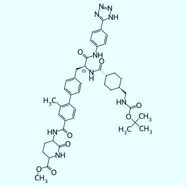 COC(=O)C1CCC(NC(=O)c2ccc(-c3ccc(C[C@H](NC(=O)[C@H]4CC[C@H](CNC(=O)OC(C)(C)C)CC4)C(=O)Nc4ccc(-c5nnn[nH]5)cc4)cc3)c(C)c2)C(=O)N1